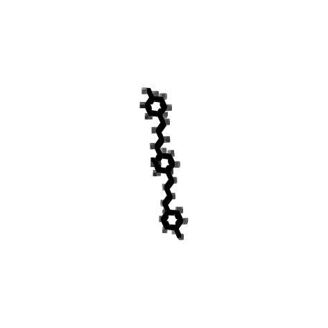 Cc1ccc(/C=C/C=C/c2ccc(/C=C/C=C/c3ccc(C)cc3)nc2)cc1